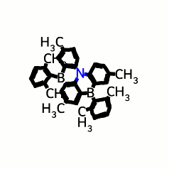 Cc1ccc2c(c1)B(c1c(C)cccc1C)c1cc(C)cc3c1N2c1ccc(C)cc1B3c1c(C)cccc1C